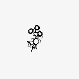 CC(=O)OC(c1oc(C)nc1C)C1C(=O)NC1SC(c1ccccc1)(c1ccccc1)c1ccccc1